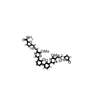 COc1nc(-c2cccc(-c3cccc(-c4cnc(CNC[C@@H]5CCC(=O)N5)c(OC)n4)c3Cl)c2Cl)cnc1CNCC1CCC(C(N)=O)O1